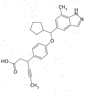 CC#CC(CC(=O)O)c1ccc(OC(c2cc(C)c3[nH]ncc3c2)C2CCCC2)cc1